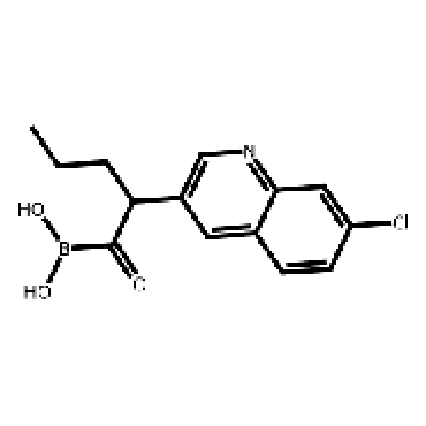 CCCC(C(=O)B(O)O)c1cnc2cc(Cl)ccc2c1